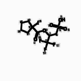 O=C(OC(CS(=O)(=O)O)C(F)(F)F)C1(I)CCCC1